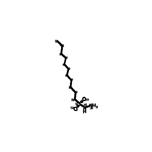 CCCCCCCCCCCS(=O)(=O)NN